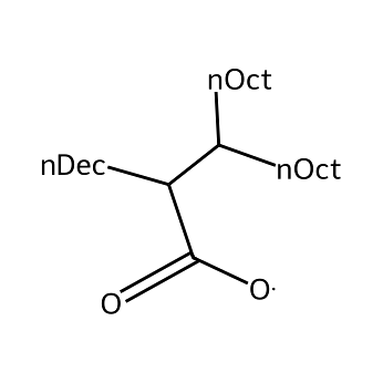 CCCCCCCCCCC(C([O])=O)C(CCCCCCCC)CCCCCCCC